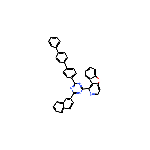 c1ccc(-c2ccc(-c3ccc(-c4nc(-c5ccc6ccccc6c5)nc(-c5nccc6oc7ccccc7c56)n4)cc3)cc2)cc1